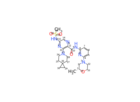 C[C@@H]1CN(c2cccc(NC(=O)c3ncc(NS(C)(=O)=O)nc3N3CCC4(CC3)CC4)n2)CCO1